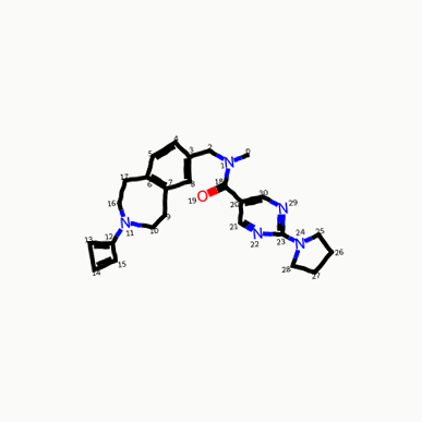 CN(Cc1ccc2c(c1)CCN(C1=CC=C1)CC2)C(=O)c1cnc(N2CCCC2)nc1